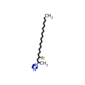 CCCCCCCCCCCCCCCCC(Br)CC(C)n1ccnc1